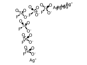 O=[Te](=O)([O-])F.O=[Te](=O)([O-])F.O=[Te](=O)([O-])F.O=[Te](=O)([O-])F.O=[Te](=O)([O-])F.O=[Te](=O)([O-])F.[Ag+].[Ag+].[Ag+].[Ag+].[Ag+].[Ag+]